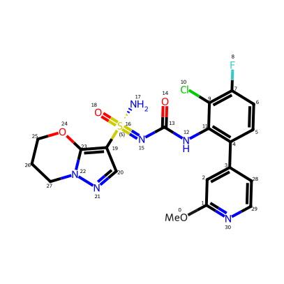 COc1cc(-c2ccc(F)c(Cl)c2NC(=O)N=[S@](N)(=O)c2cnn3c2OCCC3)ccn1